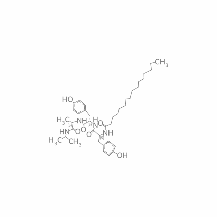 CCCCCCCCCCCCCCCC(=O)N[C@@H](Cc1ccc(O)cc1)C(=O)N[C@@H](Cc1ccc(O)cc1)C(=O)N[C@@H](C)C(=O)NC(C)C